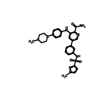 CN1CCN(c2ccc(Nc3cc(-c4cccc(NS(=O)(=O)c5ccn(C)n5)c4)cnc3C(N)=O)cc2)CC1